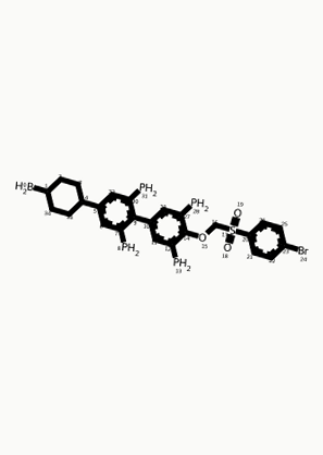 BC1CCC(c2cc(P)c(-c3cc(P)c(OCS(=O)(=O)c4ccc(Br)cc4)c(P)c3)c(P)c2)CC1